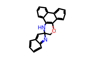 C1=c2ccccc2=NC12COc1c(c3ccccc3c3ccccc13)N2